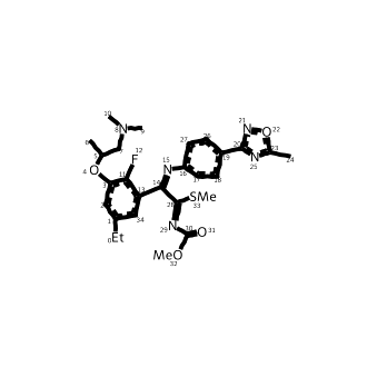 CCc1cc(OC(C)CN(C)C)c(F)c(C(=Nc2ccc(-c3noc(C)n3)cc2)C(=NC(=O)OC)SC)c1